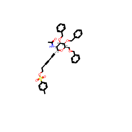 CC(=O)N[C@@H]1[C@@H](OCc2ccccc2)[C@@H](OCc2ccccc2)[C@@H](COCc2ccccc2)O[C@@H]1C#CC#CCCOS(=O)(=O)c1ccc(C)cc1